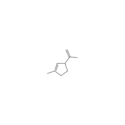 C=C(C)C1C=C(C)CC1